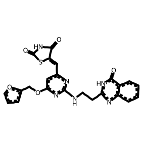 O=C1NC(=O)/C(=C/c2cc(OCc3ccco3)nc(NCCc3nc4ccccc4c(=O)[nH]3)n2)S1